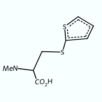 CNC(CSc1cccs1)C(=O)O